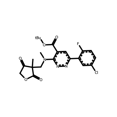 CN(CC1(C)C(=O)COC1=O)c1nnc(-c2cc(Cl)ccc2F)cc1C(=O)OC(C)(C)C